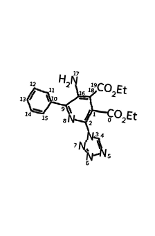 CCOC(=O)c1c(-n2cnnn2)nc(-c2ccccc2)c(N)c1C(=O)OCC